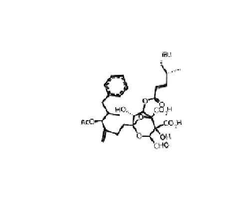 C=C(CC[C@]12OC(C=O)C(O)(C(=O)O)[C@](C(=O)O)(O1)[C@H](OC(=O)/C=C/[C@@H](C)C[C@@H](C)CC)[C@H]2O)[C@@H](OC(C)=O)[C@H](C)Cc1ccccc1